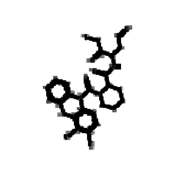 O=CCC(NC(=O)C1CCCCN1C(=O)N1c2ccccc2Sc2c1ccc(Cl)c2Cl)C(=O)CF